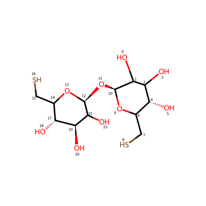 OC1C(O)[C@H](O)C(CS)O[C@H]1O[C@@H]1OC(CS)[C@@H](O)[C@H](O)C1O